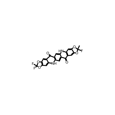 CC1(F)Oc2cc3[nH]c4cc5c(=O)c6cc7c(cc6[nH]c5cc4c(=O)c3cc2O1)OC(F)(F)O7